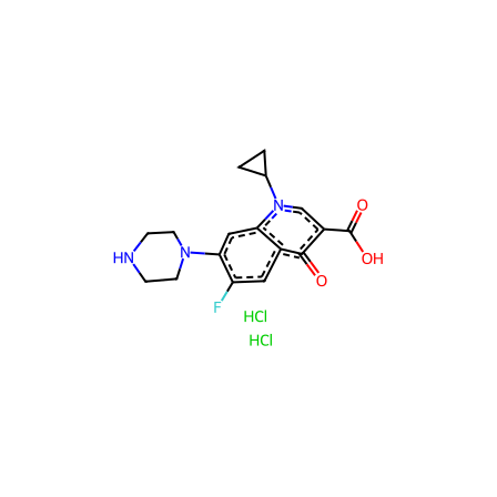 Cl.Cl.O=C(O)c1cn(C2CC2)c2cc(N3CCNCC3)c(F)cc2c1=O